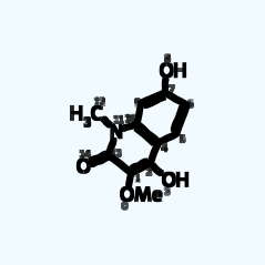 COc1c(O)c2ccc(O)cc2n(C)c1=O